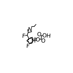 CCCN1CC(C(F)c2cc(F)cc(F)c2)C1.O=C(O)C(=O)O